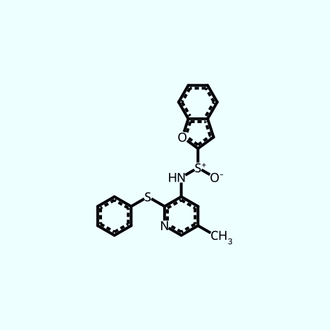 Cc1cnc(Sc2ccccc2)c(N[S+]([O-])c2cc3ccccc3o2)c1